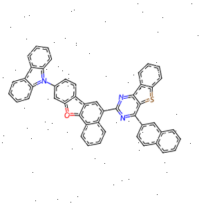 c1ccc2cc(-c3nc(-c4cc5c6ccc(-n7c8ccccc8c8ccccc87)cc6oc5c5ccccc45)nc4c3sc3ccccc34)ccc2c1